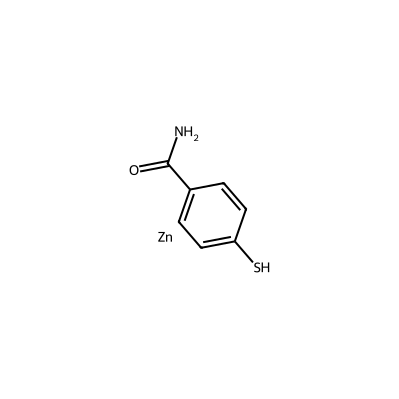 NC(=O)c1ccc(S)cc1.[Zn]